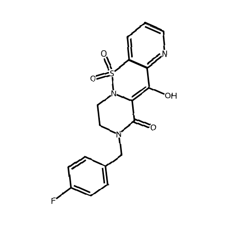 O=C1C2=C(O)c3ncccc3S(=O)(=O)N2CCN1Cc1ccc(F)cc1